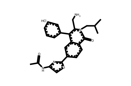 CC(=O)Nc1csc(-c2ccc3c(=O)n(CC(C)C)c(CN)c(-c4ccccc4)c3c2)n1.Cl